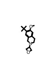 COc1cc2c(cc1C(C)(C)C)CN(C1COC1)CC2